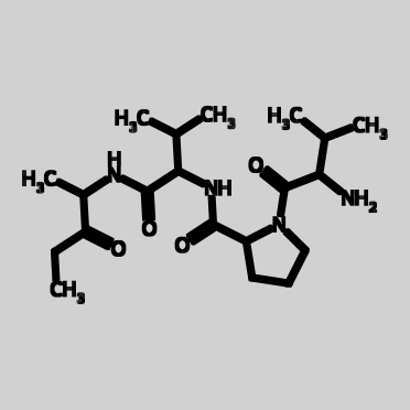 CCC(=O)C(C)NC(=O)C(NC(=O)C1CCCN1C(=O)C(N)C(C)C)C(C)C